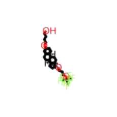 C[C@]12CC[C@@H]3c4ccc(OCCCCO)cc4CC[C@H]3[C@@H]1CC[C@@H]2OCCCOC(C(F)(F)F)(C(F)(F)F)C(F)(F)F